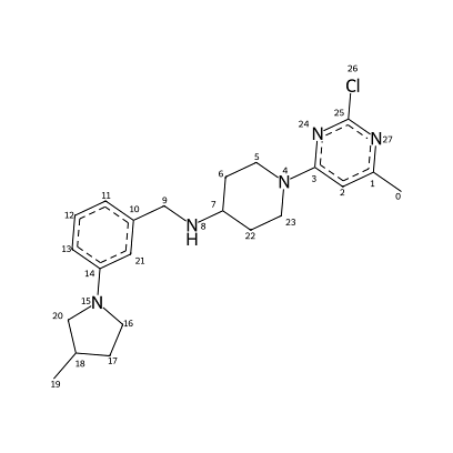 Cc1cc(N2CCC(NCc3cccc(N4CCC(C)C4)c3)CC2)nc(Cl)n1